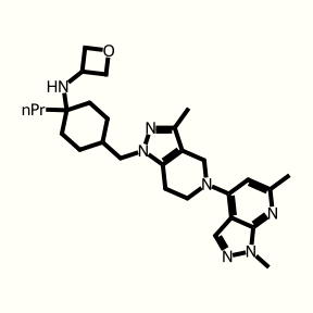 CCCC1(NC2COC2)CCC(Cn2nc(C)c3c2CCN(c2cc(C)nc4c2cnn4C)C3)CC1